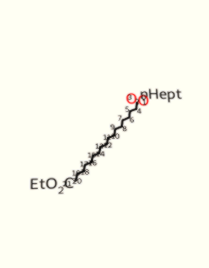 CCCCCCCOC(=O)CCCCCCCCCCCCCCCCCC(=O)OCC